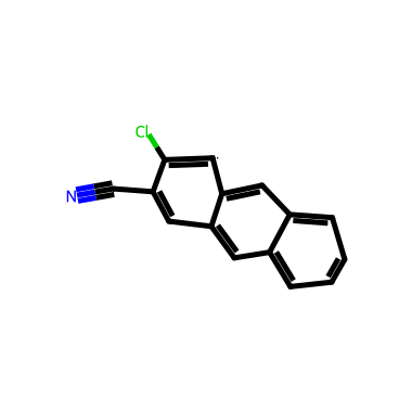 N#Cc1cc2cc3ccccc3cc2[c]c1Cl